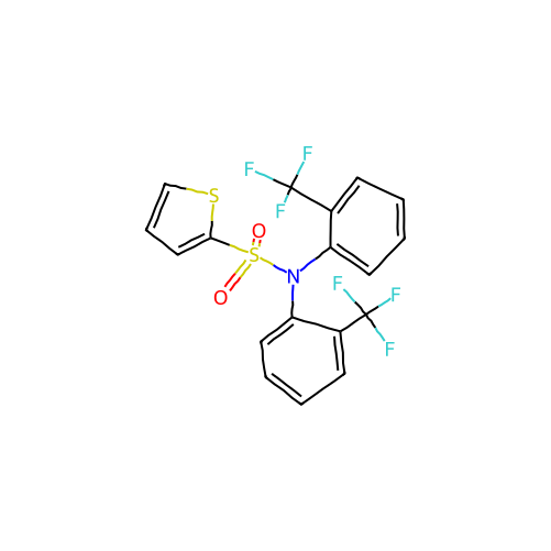 O=S(=O)(c1cccs1)N(c1ccccc1C(F)(F)F)c1ccccc1C(F)(F)F